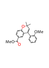 COC(=O)c1ccc2c(c1)C(c1ccccc1OC)=CC(C)(C)O2